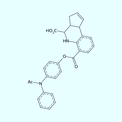 CC(=O)N(c1ccccc1)c1ccc(OC(=O)c2cccc3c2NC(C(=O)O)C2CC=CC32)cc1